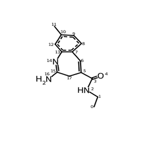 CCNC(=O)C1=Cc2ccc(C)cc2N=C(N)C1